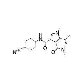 Cc1cn(C)c(=O)c2c(C(=O)NC3CCC(C#N)CC3)cn(C)c12